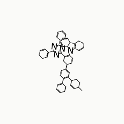 CC1C=CC(c2cc(C3C=CC(N4C5=C(CCC=C5)C5C=CC=CC54)=C(c4nc(C5=CCCC=C5)nc(C5C=CC=CC5)n4)C3)ccc2C2=CC=CCC2)CC1